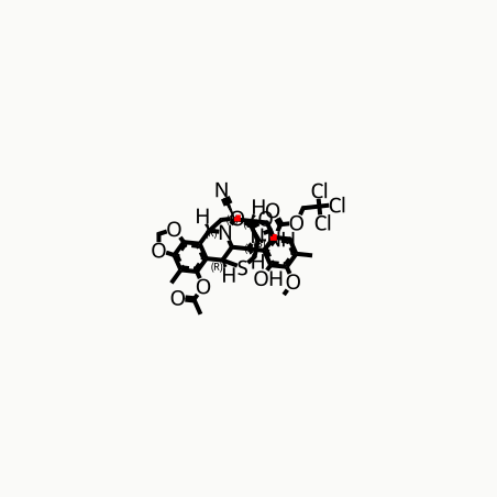 COc1c(C)cc2c(c1O)[C@@H]1C3[C@@H]4SC[C@@H](NC(=O)OCC(Cl)(Cl)Cl)C(=O)OC[C@@H](c5c6c(c(C)c(OC(C)=O)c54)OCO6)N3[C@@H](C#N)[C@H](C2)N1C